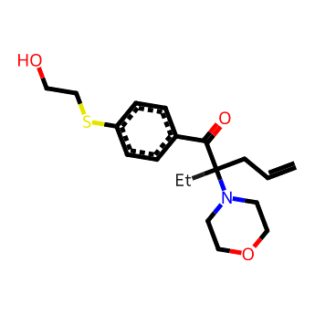 C=CCC(CC)(C(=O)c1ccc(SCCO)cc1)N1CCOCC1